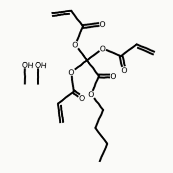 C=CC(=O)OC(OC(=O)C=C)(OC(=O)C=C)C(=O)OCCCC.CO.CO